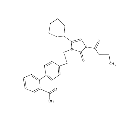 CCCC(=O)n1cc(C2CCCCC2)n(CCc2ccc(-c3ccccc3C(=O)O)cc2)c1=O